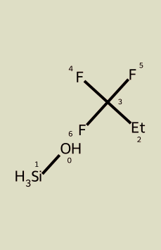 O[SiH3].[CH2]CC(F)(F)F